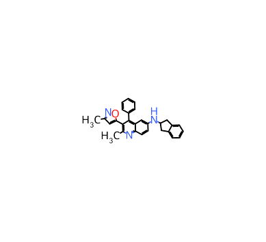 Cc1cc(-c2c(C)nc3ccc(NC4Cc5ccccc5C4)cc3c2-c2ccccc2)on1